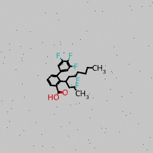 CCCCC(F)CC(CC(C)F)c1c(C(=O)O)cccc1-c1cc(F)c(F)c(F)c1